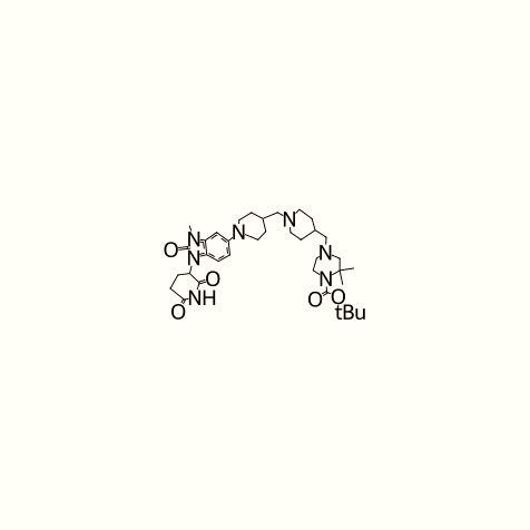 Cn1c(=O)n(C2CCC(=O)NC2=O)c2ccc(N3CCC(CN4CCC(CN5CCN(C(=O)OC(C)(C)C)C(C)(C)C5)CC4)CC3)cc21